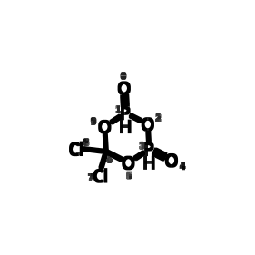 O=[PH]1O[PH](=O)OC(Cl)(Cl)O1